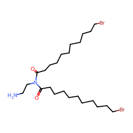 NCCN(C(=O)CCCCCCCCCCBr)C(=O)CCCCCCCCCCBr